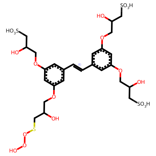 O=S(=O)(O)CC(O)COc1cc(/C=C/c2cc(OCC(O)CS(=O)(=O)O)cc(OCC(O)CS(=O)(=O)O)c2)cc(OCC(O)CSOOO)c1